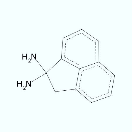 NC1(N)Cc2cccc3cccc1c23